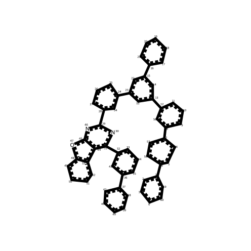 c1ccc(-c2ccc(-c3cccc(-c4cc(-c5ccccc5)cc(-c5cccc(-c6nc(-c7cccc(-c8ccccc8)c7)c7c(n6)oc6ccccc67)c5)c4)c3)cc2)cc1